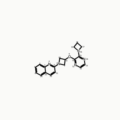 c1ccc2nc(N3CC(Oc4nccnc4N4CCC4)C3)ccc2c1